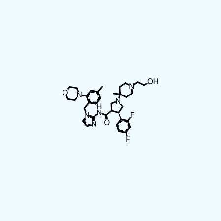 Cc1ccc(Cn2ccnc2NC(=O)C2CN(C3(C)CCN(CCO)CC3)C[C@H]2c2ccc(F)cc2F)c(N2CCOCC2)c1